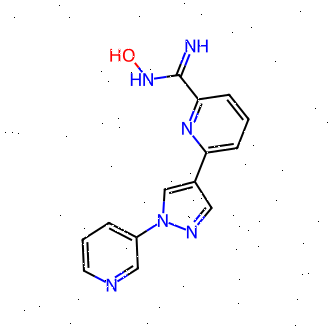 N=C(NO)c1cccc(-c2cnn(-c3cccnc3)c2)n1